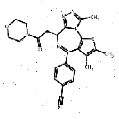 Cc1sc2c(c1C)C(c1ccc(C#N)cc1)=N[C@@H](CC(=O)N1CCOCC1)c1nnc(C)n1-2